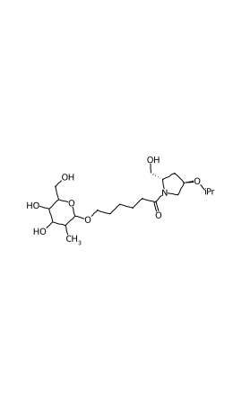 CC(C)O[C@@H]1C[C@@H](CO)N(C(=O)CCCCCOC2OC(CO)C(O)C(O)C2C)C1